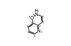 C1=Cc2ncccc2ON1